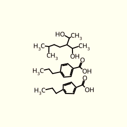 CC(C)CCC(C(C)O)C(C)O.CCCc1ccc(C(=O)O)cc1.CCCc1ccc(C(=O)O)cc1